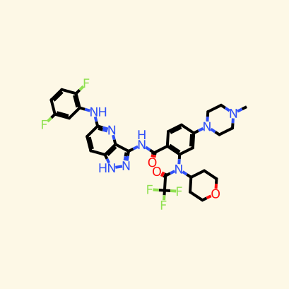 CN1CCN(c2ccc(C(=O)Nc3n[nH]c4ccc(Nc5cc(F)ccc5F)nc34)c(N(C(=O)C(F)(F)F)C3CCOCC3)c2)CC1